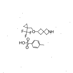 Cc1ccc(S(=O)(=O)O)cc1.FC(F)(F)C1(COC2CC3(CNC3)C2)CC1